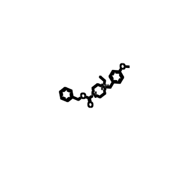 CC[N+]1(Cc2ccc(OC)cc2)CCN(C(=O)OCc2ccccc2)CC1